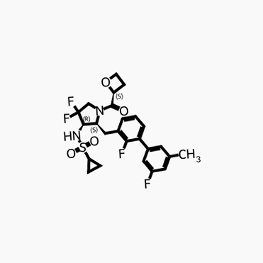 Cc1cc(F)cc(-c2cccc(C[C@H]3[C@@H](NS(=O)(=O)C4CC4)C(F)(F)CN3C(=O)[C@@H]3CCO3)c2F)c1